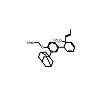 CC=CC1(C(=O)O)C=CC=CC1c1ccc(OCOC)c(C23CC4CC(CC(C4)C2)C3)c1